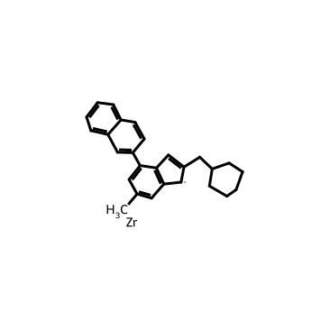 Cc1cc2c(c(-c3ccc4ccccc4c3)c1)C=C(CC1CCCCC1)[CH]2.[Zr]